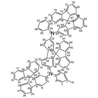 Cc1ccc(N(c2ccc3c(c2)C2(c4ccccc4-c4ccccc42)c2ccccc2-3)c2ccc3c(c2)C2(c4ccccc4-c4ccccc42)c2cc(N(c4ccccc4)c4ccc5c(c4)C4(c6ccccc6-c6ccccc64)c4ccccc4-5)ccc2-3)cc1